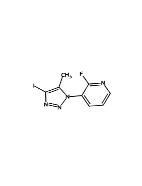 Cc1c(I)nnn1-c1cccnc1F